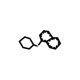 c1ccc2c([P]C3CCCCC3)cccc2c1